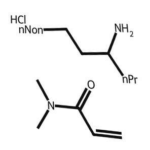 C=CC(=O)N(C)C.CCCCCCCCCCCC(N)CCC.Cl